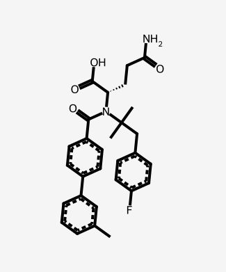 Cc1cccc(-c2ccc(C(=O)N([C@@H](CCC(N)=O)C(=O)O)C(C)(C)Cc3ccc(F)cc3)cc2)c1